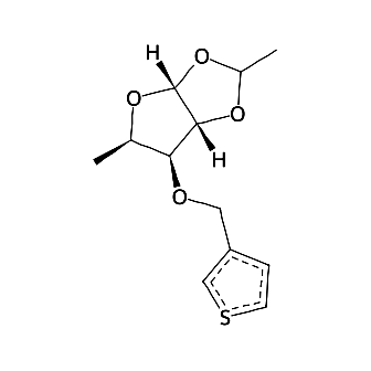 CC1O[C@H]2O[C@H](C)[C@H](OCc3ccsc3)[C@H]2O1